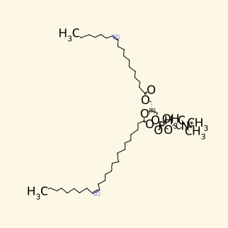 CCCCCC/C=C\CCCCCCCCCC(=O)OC[C@H](COP(=O)(O)OCC[N+](C)(C)C)OC(=O)CCCCCCCCCCCCC/C=C\CCCCCCCC